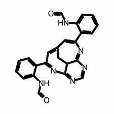 O=CNc1ccccc1C1=CC2=CC(c3ccccc3NC=O)=NC3=NC=NC(=N1)C3C2